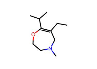 CCC1=C(C(C)C)OCCN(C)C1